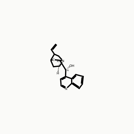 C=CC1CN2CCC1C[C@@H]2[C@H](O)c1ccnc2ccccc12